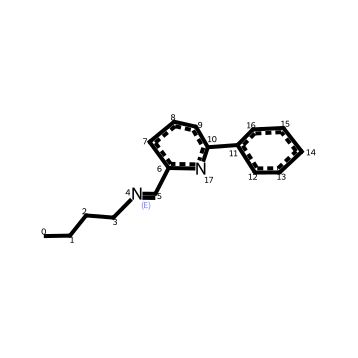 CCCC/N=C/c1cccc(-c2ccccc2)n1